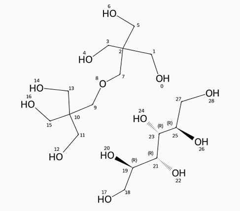 OCC(CO)(CO)COCC(CO)(CO)CO.OC[C@@H](O)[C@@H](O)[C@H](O)[C@H](O)CO